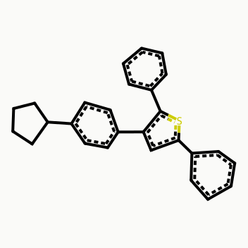 c1ccc(-c2cc(-c3ccc(C4CCCC4)cc3)c(-c3ccccc3)s2)cc1